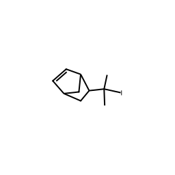 CC(C)(I)C1CC2C=CC1C2